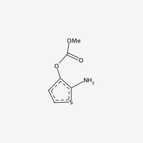 COC(=O)Oc1ccsc1N